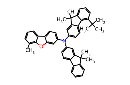 Cc1cccc2c1oc1cc(N(c3ccc4c(c3)C(C)(C)c3ccccc3-4)c3ccc4c(c3)C(C)(C)c3cccc(C(C)(C)C)c3-4)ccc12